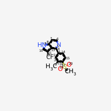 Cc1cc(-c2nccc3[nH]cc(C(F)(F)F)c23)ccc1S(C)(=O)=O